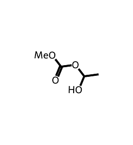 COC(=O)OC(C)O